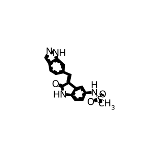 CS(=O)(=O)Nc1ccc2c(c1)C(=Cc1ccc3cn[nH]c3c1)C(=O)N2